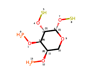 PO[C@H]1[C@H](OS)[C@H](OS)OC[C@H]1OP